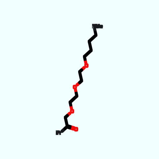 CNCCCCOCCOCCOCC(=O)C(C)C